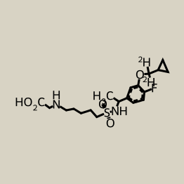 [2H]C([2H])(Oc1cc(C(C)NS(=O)(=O)CCCCCNCC(=O)O)ccc1F)C1CC1